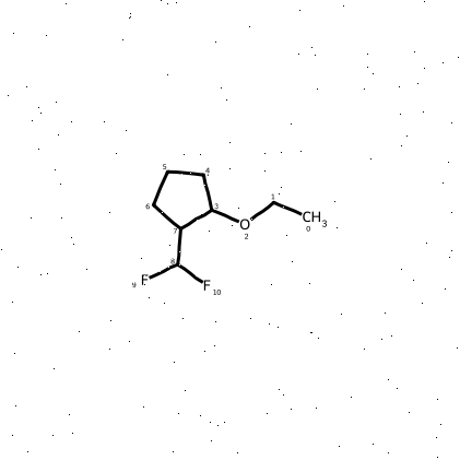 CCOC1[CH]CCC1C(F)F